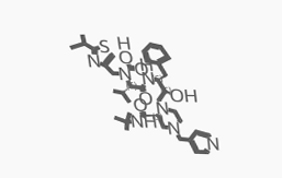 CC(C)c1nc(CN(C(=O)O)[C@H](C(=O)N[C@@H](Cc2ccccc2)[C@@H](O)CN2CCN(Cc3ccncc3)C[C@H]2C(=O)NC(C)(C)C)C(C)C)cs1